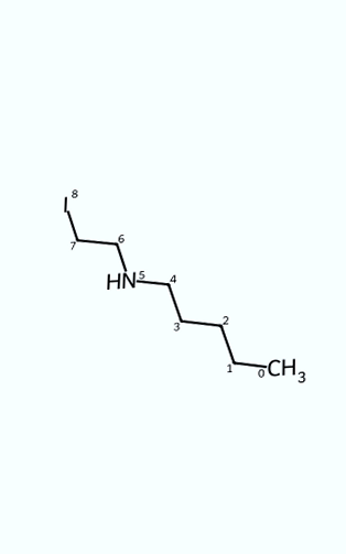 CCCCCNCCI